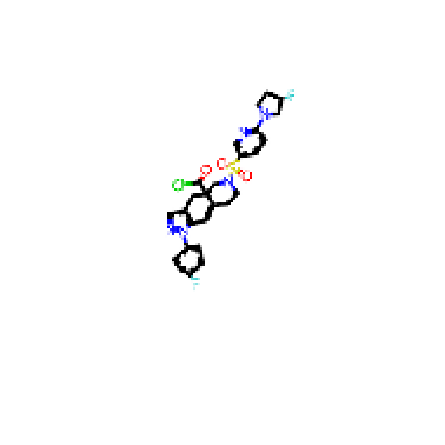 O=C(Cl)C12Cc3cnn(-c4ccc(F)cc4)c3C=C1CCN(S(=O)(=O)c1ccc(N3CC[C@@H](F)C3)nc1)C2